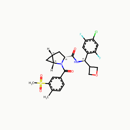 Cc1ccc(C(=O)N2[C@@H](C(=O)N[C@@H](c3cc(F)c(Cl)cc3F)C3COC3)C[C@H]3C[C@H]32)cc1S(C)(=O)=O